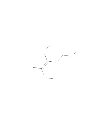 CCCCOC(CCC)=C(OCCCC)OCOCC